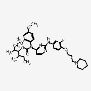 CCC(C)C(OC(=O)N(c1ccnc(Nc2ccc(OCCCN3CCCCC3)c(F)c2)n1)c1ccc(OC)cc1OC)C(C)C